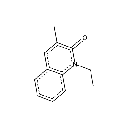 CCn1c(=O)c(C)cc2ccccc21